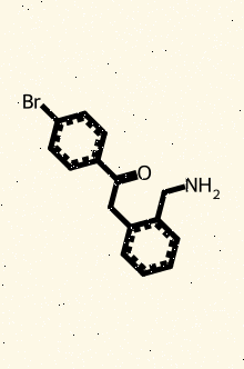 NCc1ccccc1CC(=O)c1ccc(Br)cc1